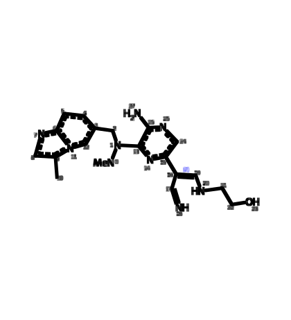 CNN(Cc1ccc2ncc(C)n2c1)c1nc(/C(C=N)=C/NCCO)cnc1N